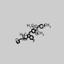 COc1cc(/C=C2/C(C)=C(CC(=O)NCc3ccco3)c3cc(F)ccc32)cc(OC)c1OC(=O)N1CCN(C)CC1